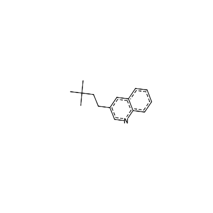 CC(C)(C)CCc1cnc2ccccc2c1